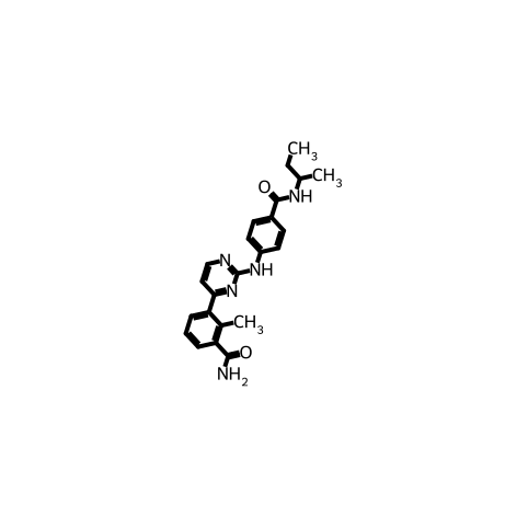 CCC(C)NC(=O)c1ccc(Nc2nccc(-c3cccc(C(N)=O)c3C)n2)cc1